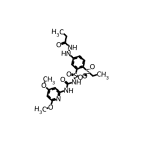 CCC(=O)NNc1ccc(S(=O)(=O)CC)c(S(=O)(=O)NC(=O)Nc2cc(OC)cc(OC)n2)c1